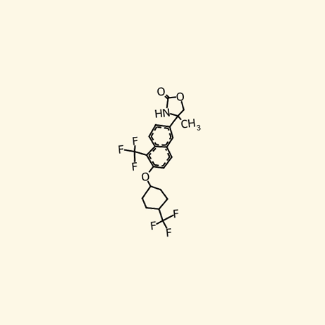 CC1(c2ccc3c(C(F)(F)F)c(OC4CCC(C(F)(F)F)CC4)ccc3c2)COC(=O)N1